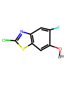 C[CH]COc1cc2sc(Cl)nc2cc1F